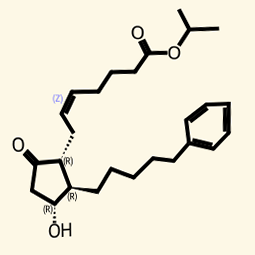 CC(C)OC(=O)CCC/C=C\C[C@H]1C(=O)C[C@@H](O)[C@@H]1CCCCCc1ccccc1